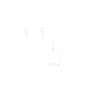 Nc1cc(Nc2ccccc2)[nH]n1